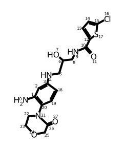 Nc1cc(NCC(O)CNC(=O)c2ccc(Cl)s2)ccc1N1CCOCC1=O